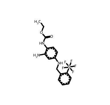 CCOC(=O)Nc1ccc(NCc2ccccc2S(F)(F)(F)(F)F)cc1N